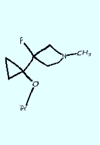 CC(C)OC1(C2(F)CN(C)C2)CC1